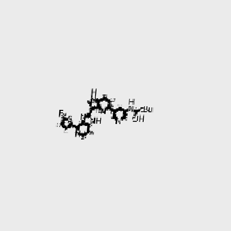 CC(C)(C)C(O)Nc1cncc(-c2ccc3[nH]nc(-c4nc5c(-c6ccc(F)s6)nccc5[nH]4)c3n2)c1